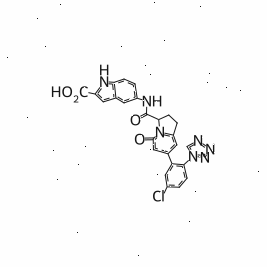 O=C(O)c1cc2cc(NC(=O)C3CCc4cc(-c5cc(Cl)ccc5-n5cnnn5)cc(=O)n43)ccc2[nH]1